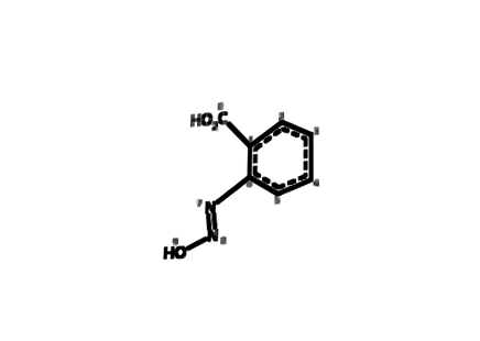 O=C(O)c1ccccc1/N=N/O